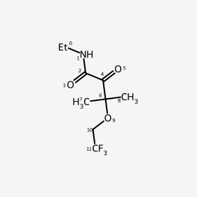 CCNC(=O)C(=O)C(C)(C)OCC(F)(F)F